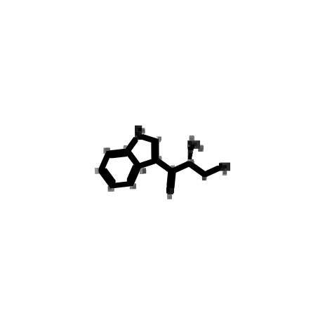 N[C@H](CS)C(=O)c1c[nH]c2ccccc12